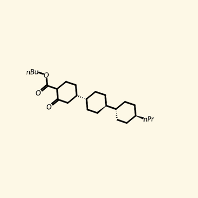 CCCCOC(=O)C1CCC([C@H]2CC[C@H]([C@H]3CC[C@H](CCC)CC3)CC2)CC1=O